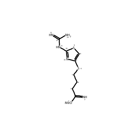 COC(=N)CCCSc1csc(NC(=N)N)n1